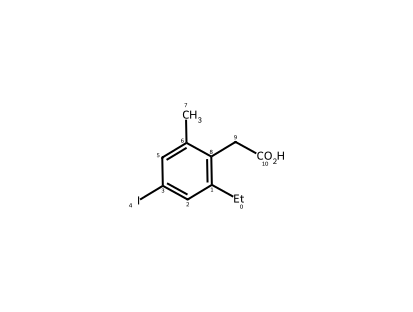 CCc1cc(I)cc(C)c1CC(=O)O